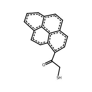 O=C(CS)c1ccc2ccc3cccc4ccc1c2c34